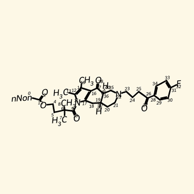 CCCCCCCCCC(=O)OCCC(C)(C)C(=O)n1c(C)c(C)c2c1C[C@H]1CCN(CCCC(=O)c3ccc(F)cc3)C[C@@H]1C2=O